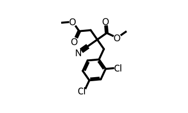 COC(=O)CC(C#N)(Cc1ccc(Cl)cc1Cl)C(=O)OC